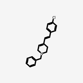 Clc1ccc(C=CC2=CCN(Cc3ccccc3)CC2)cc1